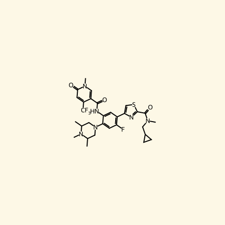 CC1CN(c2cc(F)c(-c3csc(C(=O)N(C)CC4CC4)n3)cc2NC(=O)c2cn(C)c(=O)cc2C(F)(F)F)CC(C)N1C